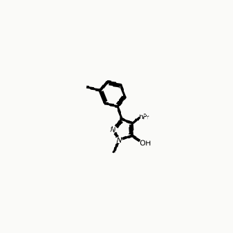 CCCc1c(-c2cccc(C)c2)nn(C)c1O